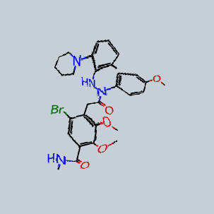 CNC(=O)c1cc(Br)c(CC(=O)N(Nc2c(C)cccc2N2CCCCC2)c2ccc(OC)cc2)c(OC)c1OC